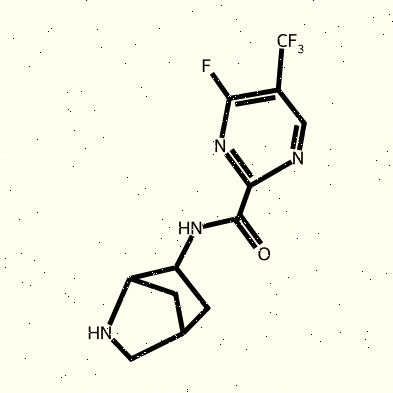 O=C(NC1CC2CNC1C2)c1ncc(C(F)(F)F)c(F)n1